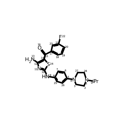 CC(C)N1CCN(c2ccc(Nc3nc(N)c(C(=O)c4cccc(F)c4)s3)cc2)CC1